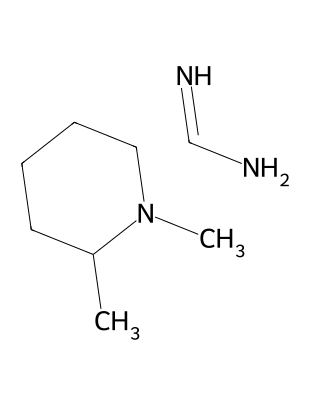 CC1CCCCN1C.N=CN